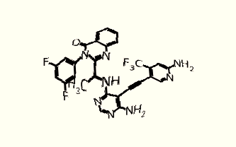 CC(Nc1ncnc(N)c1C#Cc1cnc(N)cc1C(F)(F)F)c1nc2ccccc2c(=O)n1-c1cc(F)cc(F)c1